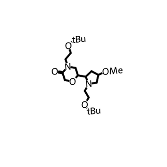 COC1CC(C2CN(CCOC(C)(C)C)C(=O)CO2)N(CCOC(C)(C)C)C1